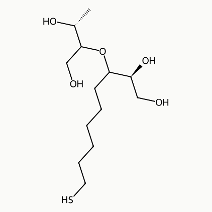 C[C@@H](O)C(CO)OC(CCCCCCS)[C@@H](O)CO